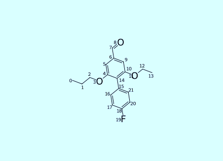 CCCOc1cc(C=O)cc(OCC)c1-c1ccc(F)cc1